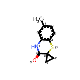 Cc1ccc2c(c1)NC(=O)C1(CC1)S2